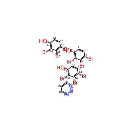 Oc1ccc(Br)c(Br)c1Br.Oc1ccc(Br)c(Br)c1Br.Oc1ccc(Br)c(Br)c1Br.c1cnnnc1